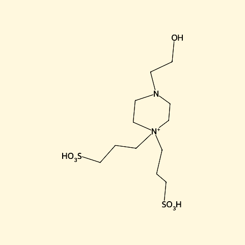 O=S(=O)(O)CCC[N+]1(CCCS(=O)(=O)O)CCN(CCO)CC1